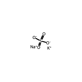 O=S(=O)([O-])[O-].[K+].[Na+]